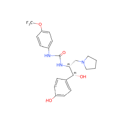 O=C(Nc1ccc(OC(F)(F)F)cc1)N[C@H](CN1CCCC1)[C@H](O)c1ccc(O)cc1